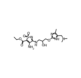 CCOC(=O)C1=C(N)C(NCC(O)COc2nc(C)c(CN(C)C)[nH]2)=NS1(=O)=O